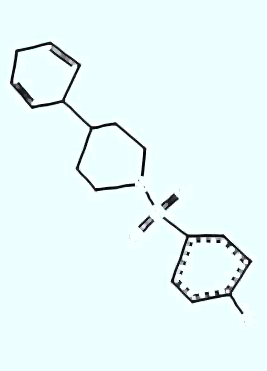 O=S(=O)(c1ccc(Cl)cc1)N1CCC(C2C=CCC=C2)CC1